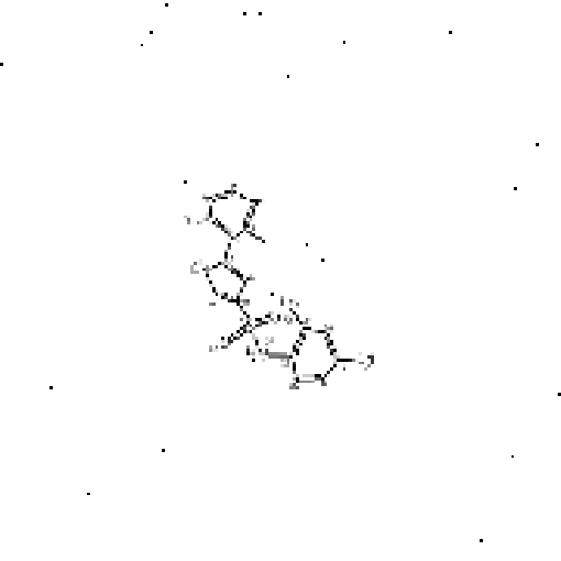 Cc1cccc(C)c1-c1cc(S(=O)(=O)Nc2ccc(C#N)cc2F)c[nH]1